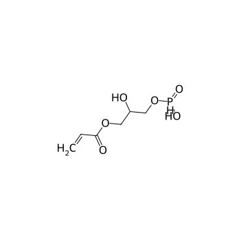 C=CC(=O)OCC(O)CO[PH](=O)O